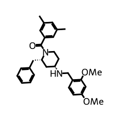 COc1ccc(CN[C@H]2CCN(C(=O)c3cc(C)cc(C)c3)[C@@H](Cc3ccccc3)C2)c(OC)c1